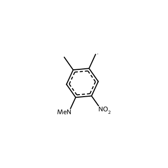 [CH2]c1cc([N+](=O)[O-])c(NC)cc1C